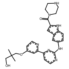 CC(C)(CO)COc1ccnc(-c2ccnc(Nc3ccc4[nH]c(C(=O)N5CCNCC5)cc4c3)n2)c1